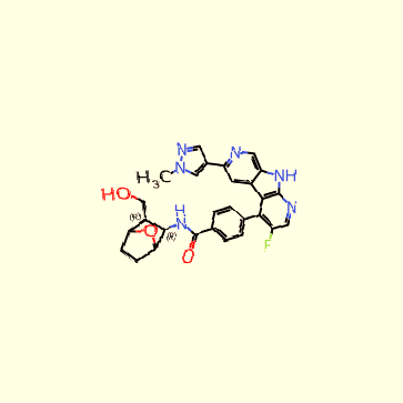 Cn1cc(-c2cc3c(cn2)[nH]c2ncc(F)c(-c4ccc(C(=O)N[C@H]5C6CCC(O6)[C@H]5CO)cc4)c23)cn1